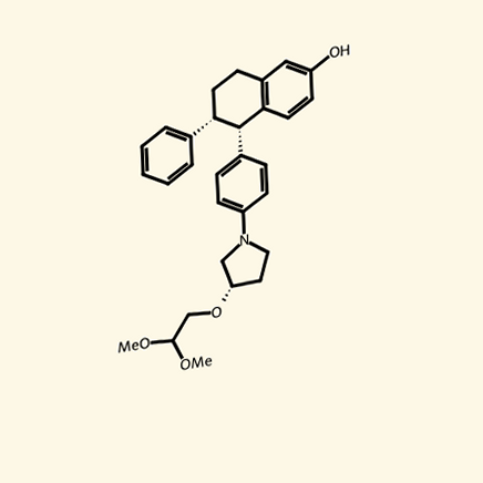 COC(CO[C@H]1CCN(c2ccc([C@H]3c4ccc(O)cc4CC[C@H]3c3ccccc3)cc2)C1)OC